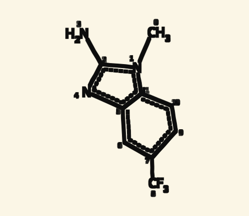 Cn1c(N)nc2cc(C(F)(F)F)ccc21